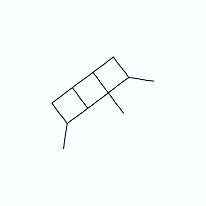 CC1CC2C3CC(C)C3(C)C12